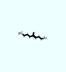 CC(=O)CC/C=C(\C)CCCC(C)C